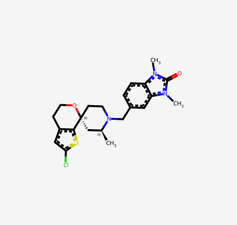 C[C@H]1C[C@@]2(CCN1Cc1ccc3c(c1)n(C)c(=O)n3C)OCCc1cc(Cl)sc12